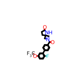 O=C1CCC2(CN(C(=O)c3ccc(-c4cc(OC(F)(F)F)ccc4F)cc3)C2)N1